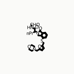 CCCC(C(=O)NC=O)N1Cc2c(SCc3ccc(CN4CCOCC4)o3)cccc2C1=O